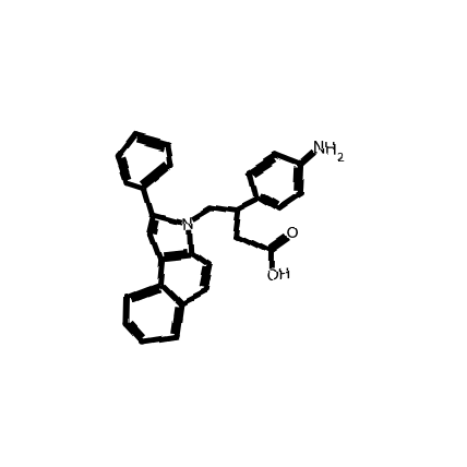 Nc1ccc(C(CC(=O)O)Cn2c(-c3ccccc3)cc3c4ccccc4ccc32)cc1